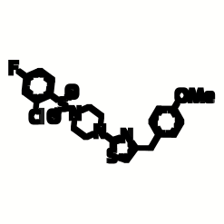 COc1ccc(Cc2csc(N3CCN(S(=O)(=O)c4ccc(F)cc4Cl)CC3)n2)cc1